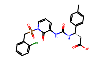 Cc1ccc([C@H](CC(=O)O)NC(=O)Nc2cccn(S(=O)(=O)Cc3ccccc3Br)c2=O)cc1